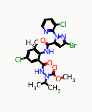 COC(=O)N(NC(=O)c1cc(Cl)cc(C)c1NC(=O)c1cc(Br)nn1-c1ncccc1Cl)C(C)C